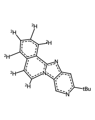 [2H]c1c([2H])c([2H])c2c(c1[2H])c([2H])c([2H])n1c3cnc(C(C)(C)C)cc3nc21